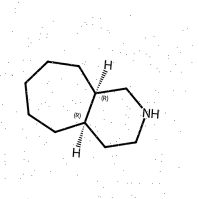 C1CC[C@@H]2CCNC[C@@H]2CC1